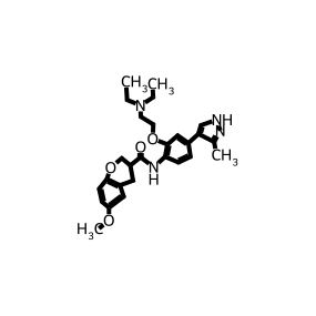 CCN(CC)CCOc1cc(-c2c[nH]nc2C)ccc1NC(=O)C1COc2ccc(OC)cc2C1